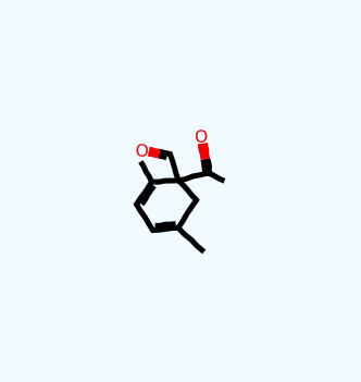 CC(=O)C1(C=O)CC(C)=CC=C1C